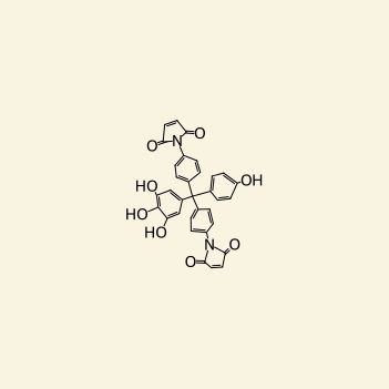 O=C1C=CC(=O)N1c1ccc(C(c2ccc(O)cc2)(c2ccc(N3C(=O)C=CC3=O)cc2)c2cc(O)c(O)c(O)c2)cc1